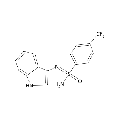 NS(=O)(=Nc1c[nH]c2ccccc12)c1ccc(C(F)(F)F)cc1